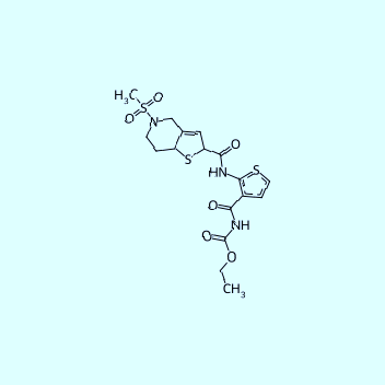 CCOC(=O)NC(=O)c1ccsc1NC(=O)C1C=C2CN(S(C)(=O)=O)CCC2S1